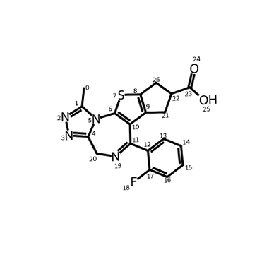 Cc1nnc2n1-c1sc3c(c1C(c1ccccc1F)=NC2)CC(C(=O)O)C3